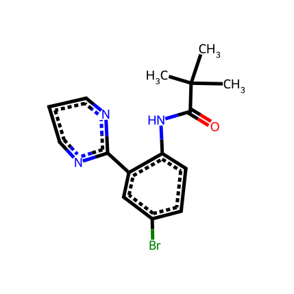 CC(C)(C)C(=O)Nc1ccc(Br)cc1-c1ncccn1